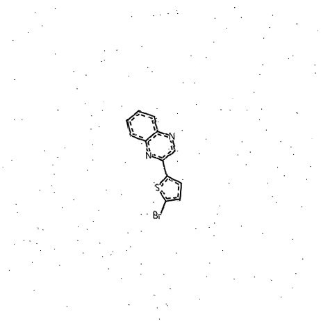 Brc1ccc(-c2[c]nc3ccccc3n2)s1